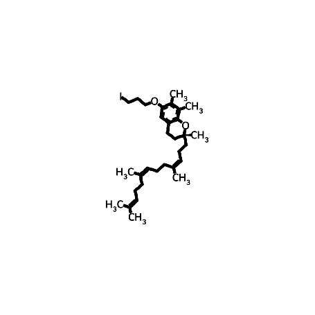 CC(C)=CCCC(C)=CCCC(C)=CCC[C@]1(C)CCc2cc(OCCCI)c(C)c(C)c2O1